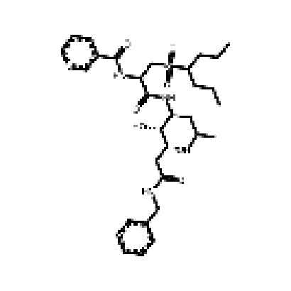 CCCC(CCC)S(=O)(=O)CC(NC(=O)c1cccnc1)C(=O)N[C@@H](CC(C)C)[C@@H](O)[C@H](O)CC(=O)NCc1ccccc1